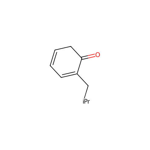 CC(C)CC1=CC=CCC1=O